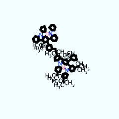 CC(C)(C)c1ccc(N2B3c4cc(C(C)(C)C)ccc4-n4c5ccc(C(C)(C)Cc6ccc7c(c6)-c6c8c9c%10c(c6[Si]7(C)C)c6ccccc6n%10-c6ccccc6B9N(c6ccccc6)c6ccccc6-8)cc5c5c6c(c(c3c54)-c3cc(C(C)(C)C)ccc32)-c2ccccc2[Si]6(C)C)cc1